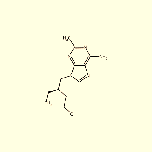 CC[C@H](CCO)Cn1cnc2c(N)nc(C)nc21